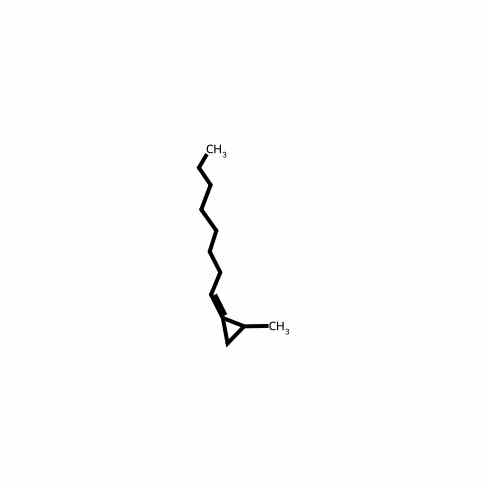 CCCCCCCC=C1CC1C